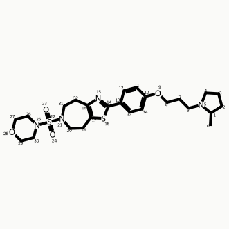 CC1CCCN1CCCOc1ccc(-c2nc3c(s2)CCN(S(=O)(=O)N2CCOCC2)CC3)cc1